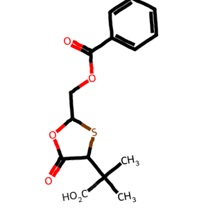 CC(C)(C(=O)O)C1SC(COC(=O)c2ccccc2)OC1=O